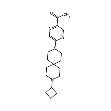 CC(=O)c1cnc(N2CCC3(CC2)CCN(C2CCC2)CC3)cn1